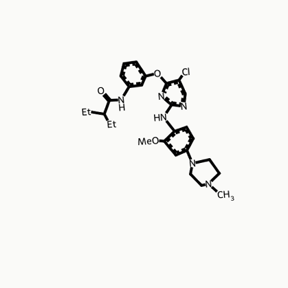 CCC(CC)C(=O)Nc1cccc(Oc2nc(Nc3ccc(N4CCN(C)CC4)cc3OC)ncc2Cl)c1